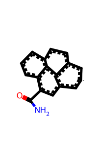 NC(=O)c1cc2c[c]cc3ccc4cccc1c4c32